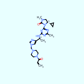 C=CC(=O)N1CCN(Cn2cnc([C@H](C)Nc3nc(C)nc(N4C(=O)N(C)C[C@@H]4C4CC4)n3)c2)CC1